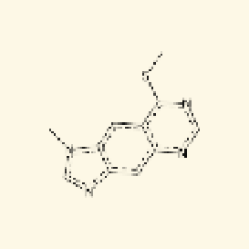 CSc1ncnc2cc3ncn(C)c3cc12